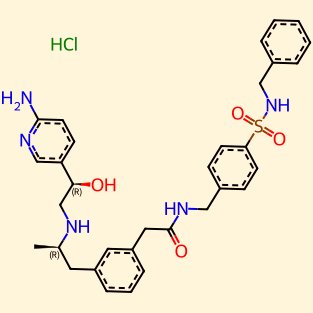 C[C@H](Cc1cccc(CC(=O)NCc2ccc(S(=O)(=O)NCc3ccccc3)cc2)c1)NC[C@H](O)c1ccc(N)nc1.Cl